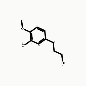 COc1ccc(CCCO)cc1Cl